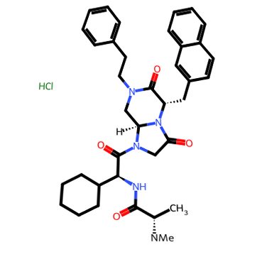 CN[C@@H](C)C(=O)N[C@H](C(=O)N1CC(=O)N2[C@@H]1CN(CCc1ccccc1)C(=O)[C@@H]2Cc1ccc2ccccc2c1)C1CCCCC1.Cl